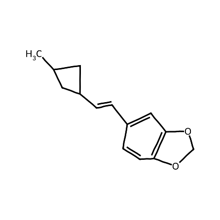 CC1CC(/C=C/c2ccc3c(c2)OCO3)C1